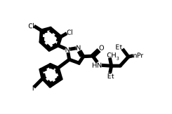 CCCC(CC)CC(C)(CC)NC(=O)C1=NN(c2ccc(Cl)cc2Cl)C(c2ccc(I)cc2)C1